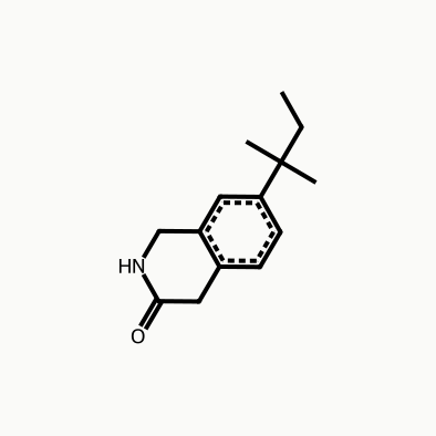 CCC(C)(C)c1ccc2c(c1)CNC(=O)C2